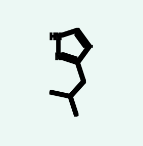 CC(C)Cc1[c]c[nH]n1